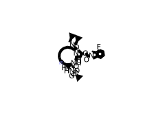 O=C1N[C@]2(C(=O)NS(=O)(=O)C3CC3)C[C@H]2/C=C\CCCCC[C@H](N(CC2CC2)CC2CC2)C(=O)N2C[C@H](OC(=O)N3Cc4cccc(F)c4C3)C[C@@H]12